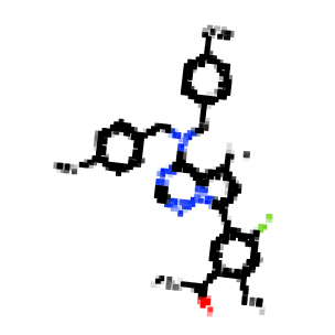 COC(=O)c1cc(-c2cc(C(F)(F)F)c3c(N(Cc4ccc(OC)cc4)Cc4ccc(OC)cc4)ncnn23)c(F)cc1C